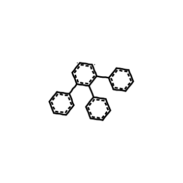 [c]1[c]c(-c2ccccc2)c(-c2ccccc2)c(-c2ccccc2)c1